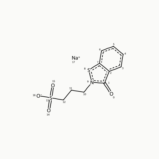 O=c1c2ccccc2sn1CCCS(=O)(=O)[O-].[Na+]